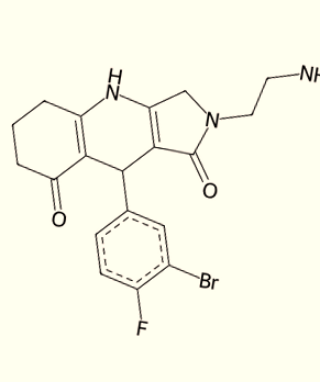 NCCN1CC2=C(C1=O)C(c1ccc(F)c(Br)c1)C1=C(CCCC1=O)N2